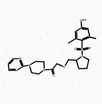 COc1cc(C)c(S(=O)(=O)N2CCCC2COCC(=O)N2CCN(c3ncccn3)CC2)c(C)c1